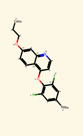 CNc1cc(F)c(Oc2ccnc3cc(OCCOC)ccc23)c(F)c1